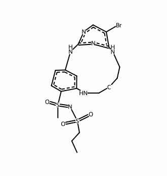 CCCS(=O)(=O)N=S(C)(=O)c1ccc2cc1NCCCCNc1nc(ncc1Br)N2